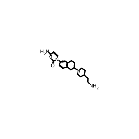 NCCC1CCN(C2CCc3cc(-n4ccc(N)nc4=O)ccc3C2)CC1